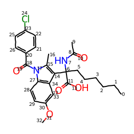 CCCCCCC(NC(C)=O)(C(=O)O)c1c(C)n(C(=O)c2ccc(Cl)cc2)c2ccc(OC)cc12